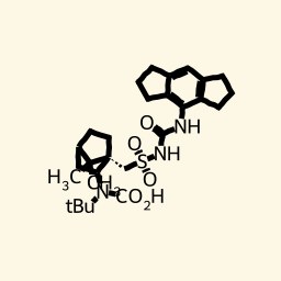 CC(C)(C)N(C(=O)O)C1CC2CC[C@]1(CS(=O)(=O)NC(=O)Nc1c3c(cc4c1CCC4)CCC3)C2(C)C